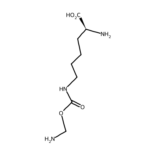 NCOC(=O)NCCCC[C@H](N)C(=O)O